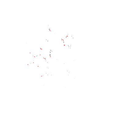 C=C/C=C\NC(/C(=C\C=C)N(c1ccc(C(C)(C)C)cc1CC=C)C(C)C)c1cc(-n2c3ccc(C(C)(C)C)cc3c3cc(C(C)(C)C)cc(C(C)(C)c4ccc5c(c4)c4ccccc4n5/C(=C/C=C)C(/N=C\C=C/C)c4cc(-n5c6ccccc6c6cc(C(C)(C)C)ccc65)ccc4-c4nc(-c5ccccc5)nc(-c5ccccc5)n4)c32)ccc1-c1nc(-c2ccccc2)nc(-c2ccccc2)n1